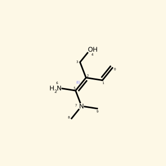 C=C/C(CO)=C(/N)N(C)C